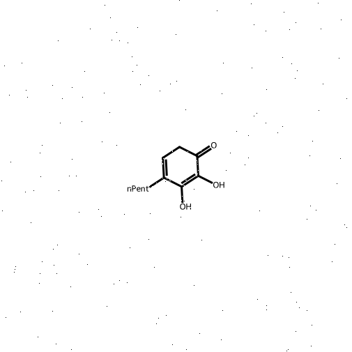 CCCCCC1=CCC(=O)C(O)=C1O